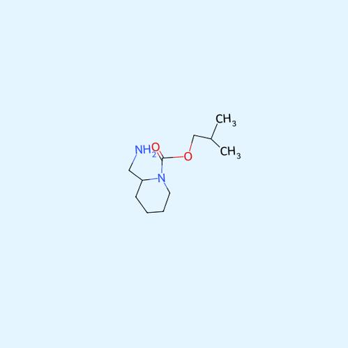 CC(C)COC(=O)N1CCCCC1CN